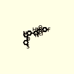 O=S(=O)(Nc1cc(-c2ccc3nccc(OC4CCCC(=S)C4)c3c2)cnc1Cl)c1ccc(F)cc1